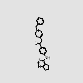 O=C(CC1=CCN(Cc2ccccc2)CC1)c1ccc(Nc2ncnc3c2CCC3)cc1